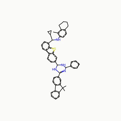 Cc1c(NC(c2cccc3c2sc2cc(C4NC(c5ccc6c(c5)C(C)(C)c5ccccc5-6)=NC(c5ccccc5)N4)ccc23)C2CC2)ccc2c1CCCC2